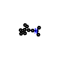 c1ccc(-c2cc(-c3ccccc3)nc(-c3ccc(-c4ccc(-c5cc6c(cc5-c5cccc7ccccc57)-c5ccccc5C65c6ccccc6-c6ccccc65)cc4)cc3)n2)cc1